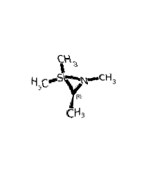 C[C@@H]1N(C)[Si]1(C)C